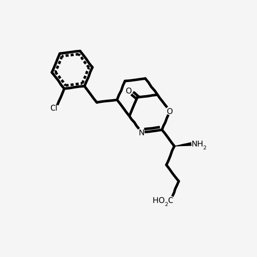 N[C@@H](CCC(=O)O)C1=NC2C(=O)C(CCC2Cc2ccccc2Cl)O1